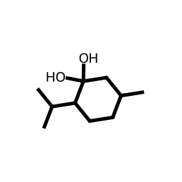 CC1CCC(C(C)C)C(O)(O)C1